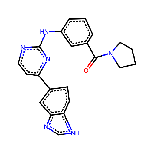 O=C(c1cccc(Nc2nccc(-c3ccc4[nH]cnc4c3)n2)c1)N1CCCC1